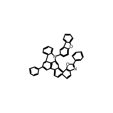 C1=C=c2oc3ccccc3c2=CC=1N(c1ccc2ccc3ccc4nc(-c5ccccc5)oc4c3c2c1)c1ccccc1C1=CC(c2ccccc2)=CCC1